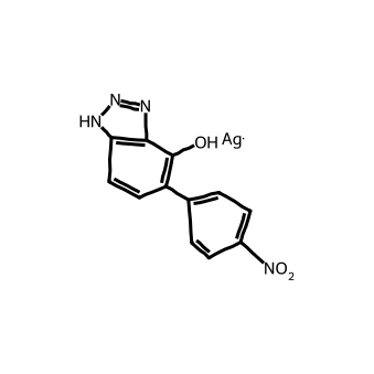 O=[N+]([O-])c1ccc(-c2ccc3[nH]nnc3c2O)cc1.[Ag]